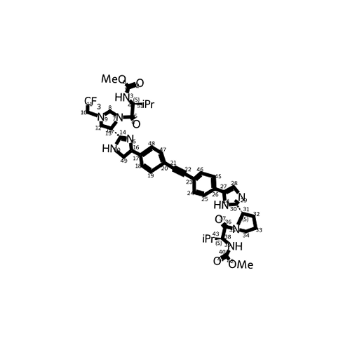 COC(=O)N[C@H](C(=O)N1CN(CC(F)(F)F)C[C@H]1C1=NC(c2ccc(C#Cc3ccc(-c4cnc([C@@H]5CCCN5C(=O)[C@@H](NC(=O)OC)C(C)C)[nH]4)cc3)cc2)CN1)C(C)C